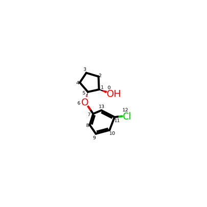 O[C@@H]1CCC[C@H]1Oc1cccc(Cl)c1